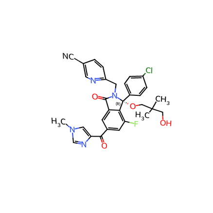 Cn1cnc(C(=O)c2cc(F)c3c(c2)C(=O)N(Cc2ccc(C#N)cn2)[C@@]3(OCC(C)(C)CO)c2ccc(Cl)cc2)c1